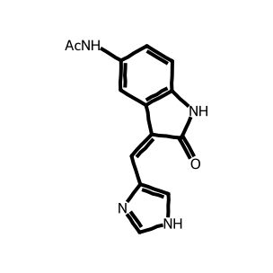 CC(=O)Nc1ccc2c(c1)/C(=C/c1c[nH]cn1)C(=O)N2